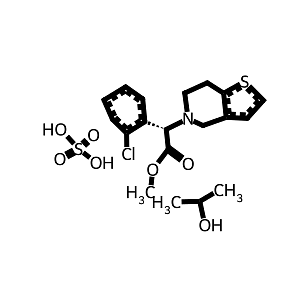 CC(C)O.COC(=O)[C@H](c1ccccc1Cl)N1CCc2sccc2C1.O=S(=O)(O)O